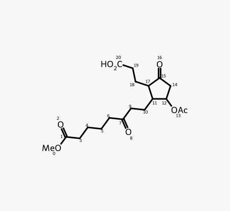 COC(=O)CCCCC(=O)CCC1C(OC(C)=O)CC(=O)C1CCC(=O)O